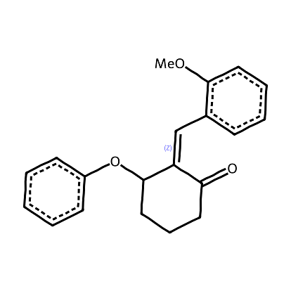 COc1ccccc1/C=C1\C(=O)CCCC1Oc1ccccc1